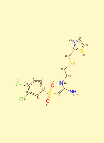 NC(=CS(=O)(=O)c1ccc(Cl)c(Cl)c1)NCCSCc1nccs1